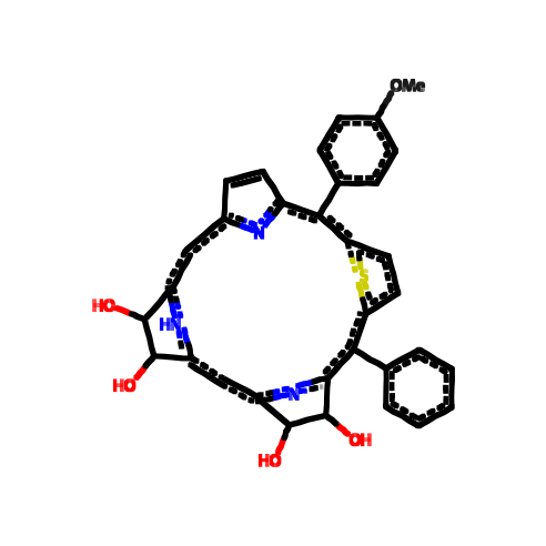 COc1ccc(-c2c3nc(cc4[nH]c(cc5nc(c(-c6ccccc6)c6ccc2s6)C(O)C5O)C(O)C4O)C=C3)cc1